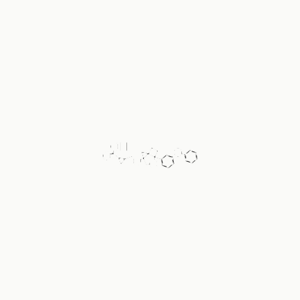 O=C(O)C1CC1COC12COC3(c4cccc(Oc5ccccc5)c4)CCC13C2